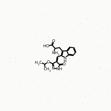 CC(C)OC1=NNC(=O)/C1=C\c1[nH]c2ccccc2c1CC(N)C(=O)O